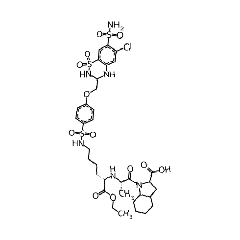 CCOC(=O)[C@H](CCCCNS(=O)(=O)c1ccc(OCC2Nc3cc(Cl)c(S(N)(=O)=O)cc3S(=O)(=O)N2)cc1)N[C@@H](C)C(=O)N1C(C(=O)O)CC2CCCCC21